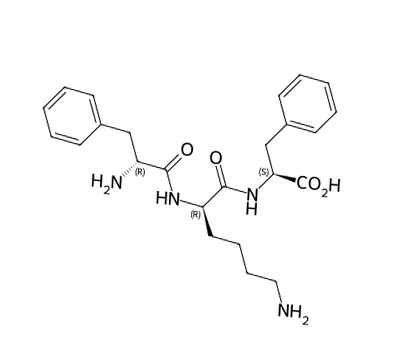 NCCCC[C@@H](NC(=O)[C@H](N)Cc1ccccc1)C(=O)N[C@@H](Cc1ccccc1)C(=O)O